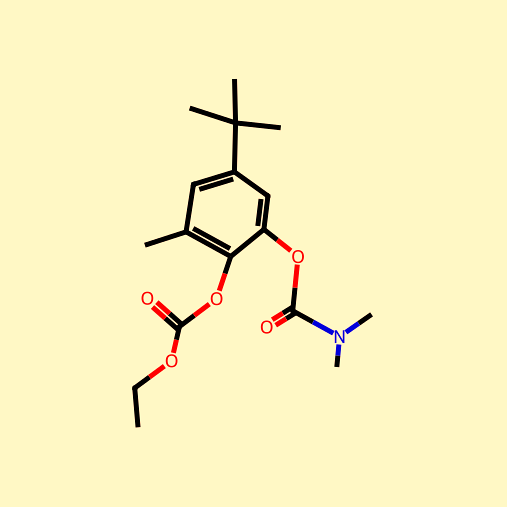 CCOC(=O)Oc1c(C)cc(C(C)(C)C)cc1OC(=O)N(C)C